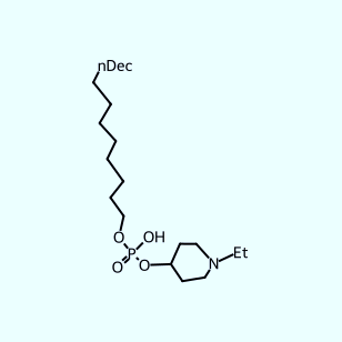 CCCCCCCCCCCCCCCCCCOP(=O)(O)OC1CCN(CC)CC1